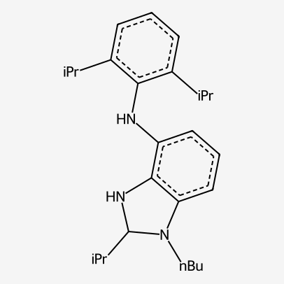 CCCCN1c2cccc(Nc3c(C(C)C)cccc3C(C)C)c2NC1C(C)C